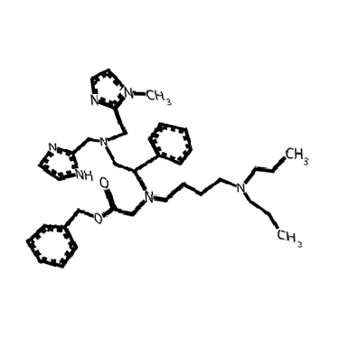 CCCN(CCC)CCCCN(CC(=O)OCc1ccccc1)C(CN(Cc1ncc[nH]1)Cc1nccn1C)c1ccccc1